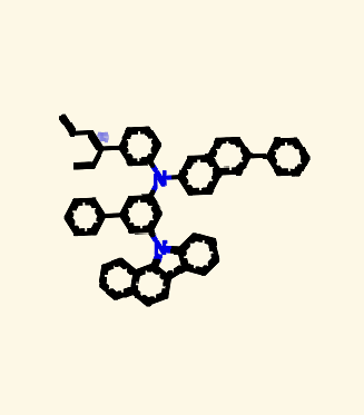 C=C/C=C(\C=C)c1cccc(N(c2cc(-c3ccccc3)cc(-n3c4ccccc4c4ccc5ccccc5c43)c2)c2ccc3cc(-c4ccccc4)ccc3c2)c1